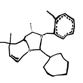 Cc1ccccc1N1C(C2CCCCC2)N2C=CC(C)(C)C2[C@@H]1C